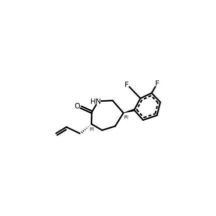 C=CC[C@H]1CC[C@H](c2cccc(F)c2F)CNC1=O